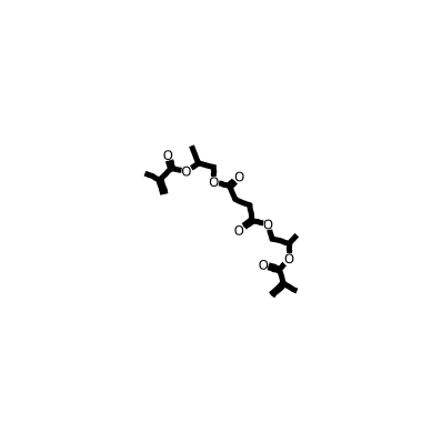 C=C(C)C(=O)OC(C)COC(=O)CCC(=O)OCC(C)OC(=O)C(=C)C